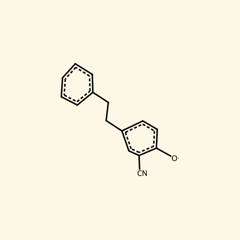 N#Cc1cc(CCc2ccccc2)ccc1[O]